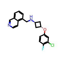 Fc1ccc(O[C@H]2C[C@H](NCc3cccc4cnccc34)C2)cc1Cl